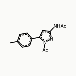 CC(=O)Nc1cc(-c2ccc(C)cc2)n(C(C)=O)n1